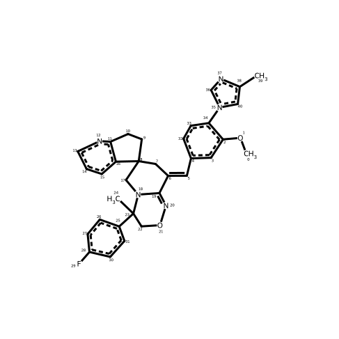 COc1cc(/C=C2\CC3(CCc4ncccc43)CN3C2=NOCC3(C)c2ccc(F)cc2)ccc1-n1cnc(C)c1